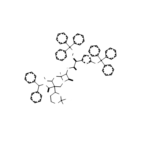 CSC1S[C@@H]2C(NC(=O)C(=NOC(c3ccccc3)(c3ccccc3)c3ccccc3)c3csc(NC(c4ccccc4)(c4ccccc4)c4ccccc4)n3)C(=O)N2CC1(C(=O)OC(c1ccccc1)c1ccccc1)C1CCOC(C)(C)O1